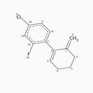 C=C1CCCC=C1c1ccc(Cl)cc1F